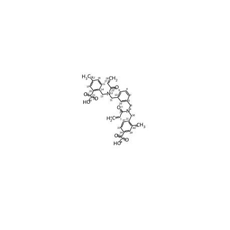 C=CC(=O)N(Cc1cccc(CN(Cc2ccc(C)cc2S(=O)(=O)O)C(=O)C=C)c1)Cc1ccc(S(=O)(=O)O)cc1C